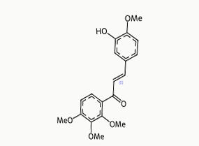 COc1ccc(/C=C/C(=O)c2ccc(OC)c(OC)c2OC)cc1O